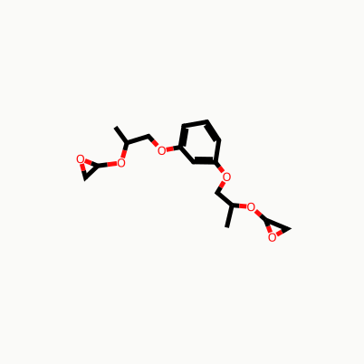 CC(COc1cccc(OCC(C)OC2CO2)c1)OC1CO1